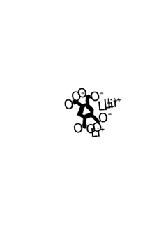 O=C([O-])c1cc(C(=O)[O-])c(C(=O)[O-])cc1C(=O)[O-].[Li+].[Li+].[Li+].[Li+]